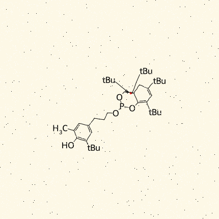 Cc1cc(CCCOP2OC3=C(C(C)(C)C)C=C(C(C)(C)C)CC34C=C(C(C)(C)C)C=C(C(C)(C)C)C4O2)cc(C(C)(C)C)c1O